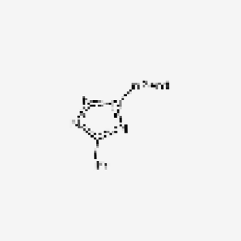 CCCCCn1nnc(C(C)C)n1